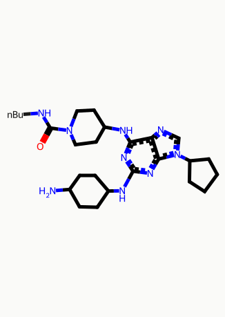 CCCCNC(=O)N1CCC(Nc2nc(NC3CCC(N)CC3)nc3c2ncn3C2CCCC2)CC1